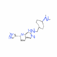 CN(C)C1CCC(CNc2cc3nc(-c4cnn(C)c4)ccc3cn2)CC1